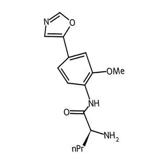 CCC[C@H](N)C(=O)Nc1ccc(-c2cnco2)cc1OC